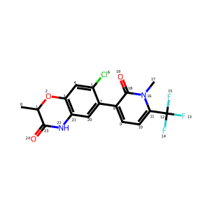 CC1Oc2cc(Cl)c(-c3ccc(C(F)(F)F)n(C)c3=O)cc2NC1=O